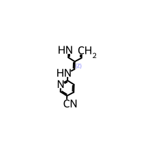 C=C/C(C=N)=C/Nc1ccc(C#N)cn1